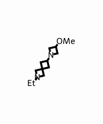 CCN1CC2(CC(N3CC(OC)C3)C2)C1